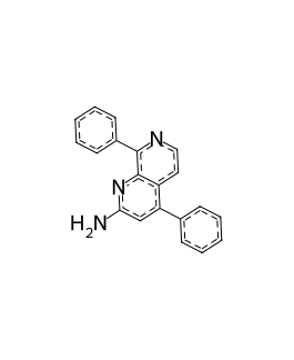 Nc1cc(-c2ccccc2)c2ccnc(-c3ccccc3)c2n1